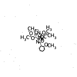 CCOC(C)OC(c1noc(-c2ccccc2OC)n1)[C@@H]1CCCN1C(=O)OC(C)(C)C